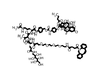 CCCC1O[C@@H]2C[C@H]3[C@@H]4C[C@H](F)C5=CC(=O)C=C[C@]5(C)[C@@]4(F)[C@@H](O)C[C@]3(C)[C@]2(C(=O)COc2ccc(NC(=O)OCc3ccc(NC(=O)[C@H](CCCNC(N)=O)NC(=O)[C@@H](NC(=O)[C@@H](CCC(=O)NC[C@H](O)[C@@H](O)[C@H](O)[C@H](O)CO)NC(=O)CCOCCOCCOCCOCCNC(=O)CCC(=O)N4Cc5ccccc5C#Cc5ccccc54)C(C)C)cc3)cc2)O1